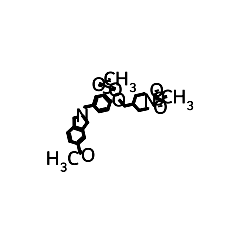 CC(=O)c1ccc2c(c1)CN(Cc1ccc(OCC3CCN(S(C)(=O)=O)CC3)c(S(C)(=O)=O)c1)C2